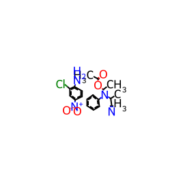 CC(=O)OC(C)N(c1ccccc1)C(C)C#N.Nc1ccc([N+](=O)[O-])cc1Cl